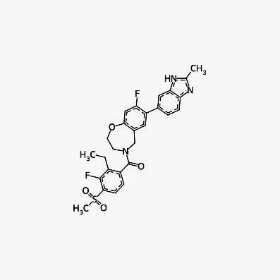 CCc1c(C(=O)N2CCOc3cc(F)c(-c4ccc5nc(C)[nH]c5c4)cc3C2)ccc(S(C)(=O)=O)c1F